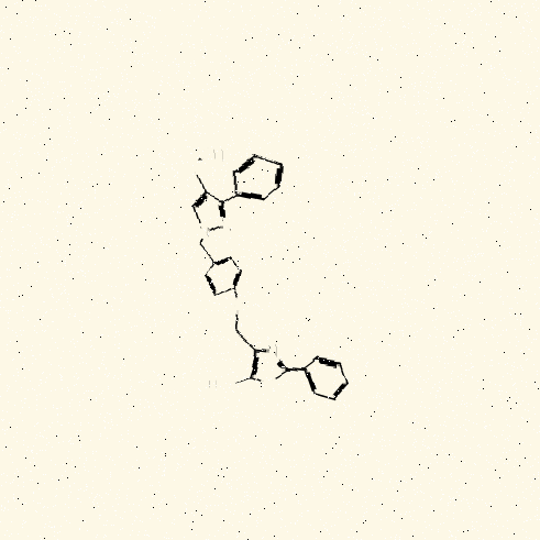 COc1cn(Cc2ccc(OCc3nc(-c4ccccc4)oc3C)cc2)nc1-c1ccccc1